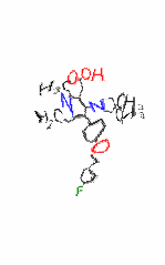 C=Cc1nc(C)c(CC(=O)O)c(N2CCC(C)(C)CC2)c1-c1ccc(OCCc2ccc(F)cc2)cc1